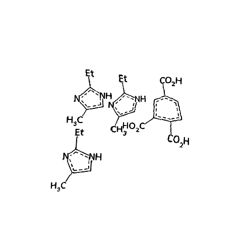 CCc1nc(C)c[nH]1.CCc1nc(C)c[nH]1.CCc1nc(C)c[nH]1.O=C(O)c1ccc(C(=O)O)c(C(=O)O)c1